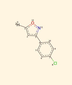 [2H]c1cc(-c2ccc(Cl)cc2)no1